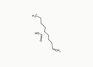 C=CCCCCCCCC.O=CO